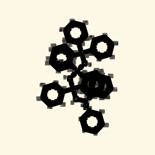 c1ccc([SiH](O[Si](O[Si](O[Si](c2ccccc2)(c2ccccc2)c2ccccc2)(c2ccccc2)c2ccccc2)(c2ccccc2)c2ccccc2)c2ccccc2)cc1